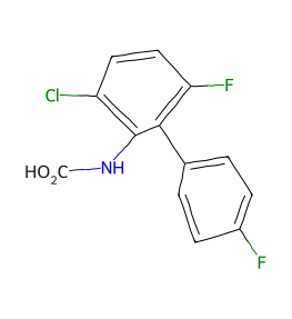 O=C(O)Nc1c(Cl)ccc(F)c1-c1ccc(F)cc1